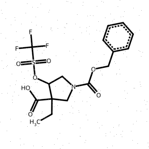 CCC1(C(=O)O)CN(C(=O)OCc2ccccc2)CC1OS(=O)(=O)C(F)(F)F